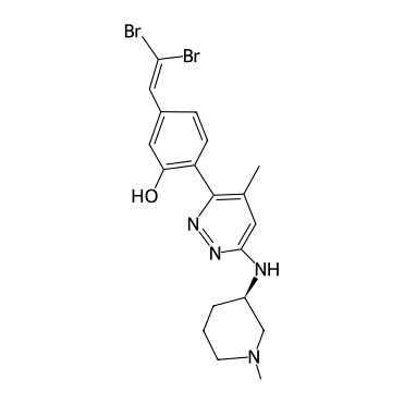 Cc1cc(N[C@@H]2CCCN(C)C2)nnc1-c1ccc(C=C(Br)Br)cc1O